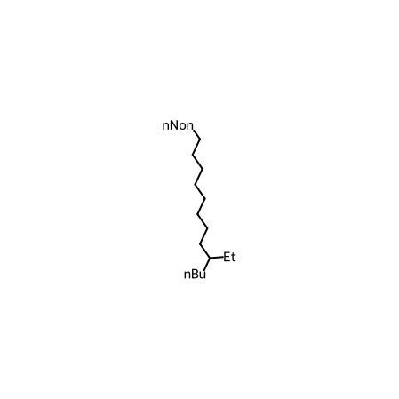 [CH2]CCCC(CC)CCCCCCCCCCCCCCCCC